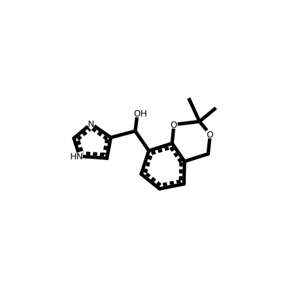 CC1(C)OCc2cccc(C(O)c3c[nH]cn3)c2O1